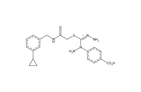 N/N=C(/SCC(=O)NCc1cccc(C2CC2)c1)N(N)c1ccc(C(=O)O)cc1